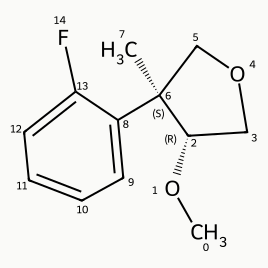 CO[C@H]1COC[C@]1(C)c1ccccc1F